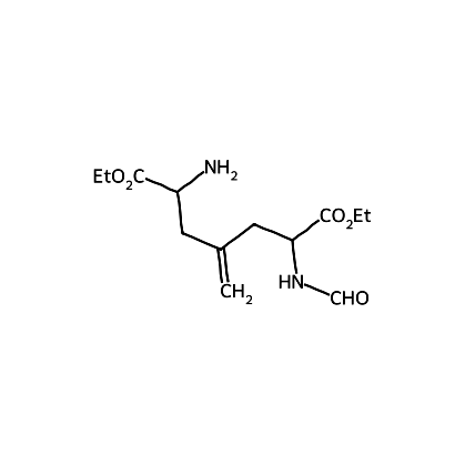 C=C(CC(N)C(=O)OCC)CC(NC=O)C(=O)OCC